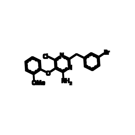 COc1ccccc1Oc1c(N)nc(Cc2cccc(Br)c2)nc1Cl